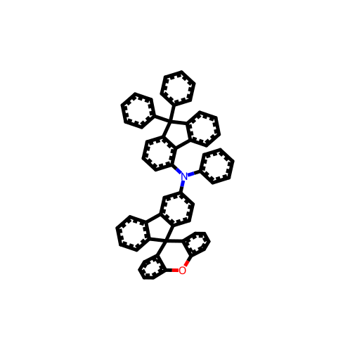 c1ccc(N(c2ccc3c(c2)-c2ccccc2C32c3ccccc3Oc3ccccc32)c2cccc3c2-c2ccccc2C3(c2ccccc2)c2ccccc2)cc1